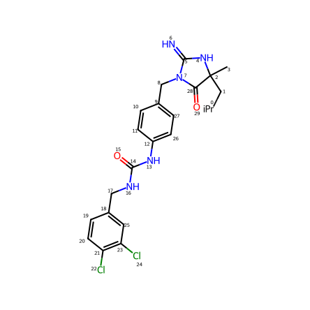 CC(C)CC1(C)NC(=N)N(Cc2ccc(NC(=O)NCc3ccc(Cl)c(Cl)c3)cc2)C1=O